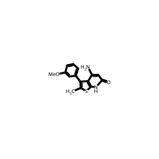 COc1cccc(-c2c(C)sc3[nH]c(=O)cc(N)c23)c1